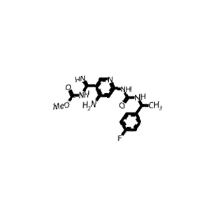 COC(=O)NC(=N)c1cnc(NC(=O)NC(C)c2ccc(F)cc2)cc1N